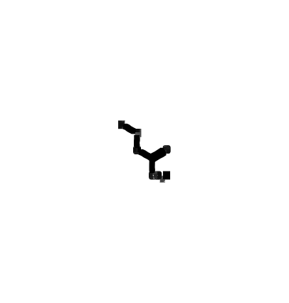 O=C(O)C(=O)[O][Ti][K]